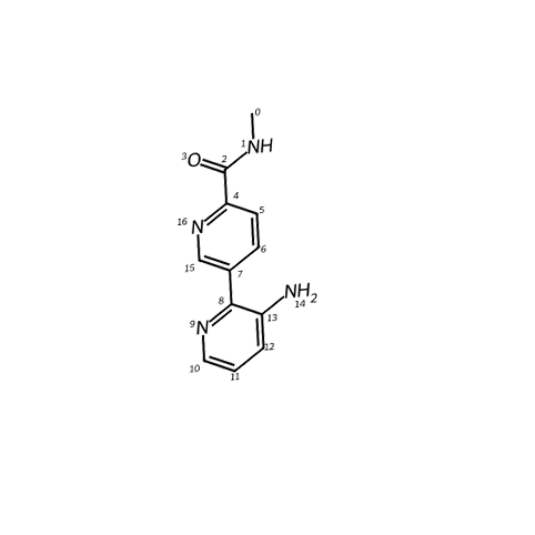 CNC(=O)c1ccc(-c2ncccc2N)cn1